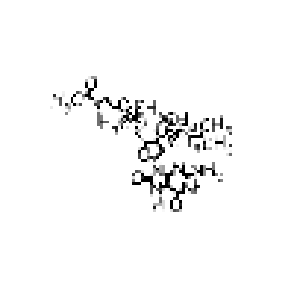 CC(=O)NCCO[Si](C)(C)OC[C@H]1O[C@@H](n2c(=O)[nH]c3c(=O)[nH]c(N)nc32)CC1O[Si](C)(C)OCC(C)C